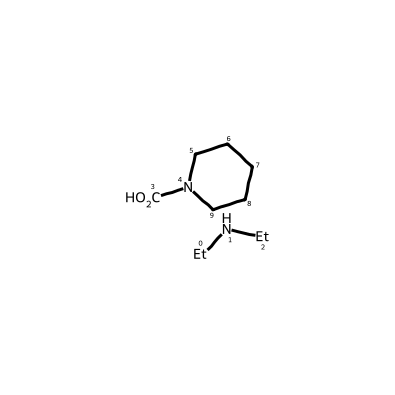 CCNCC.O=C(O)N1CCCCC1